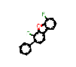 Fc1cccc2c1oc1c(F)c(-c3ccccc3)ccc12